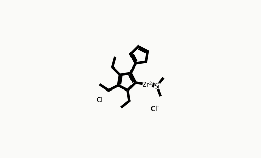 CCC1=C(CC)C(CC)[C]([Zr+2]=[Si](C)C)=C1C1=CC=CC1.[Cl-].[Cl-]